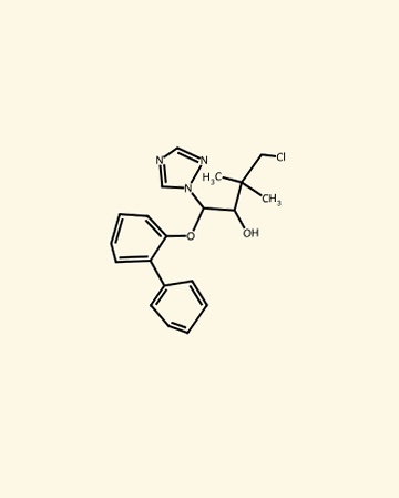 CC(C)(CCl)C(O)C(Oc1ccccc1-c1ccccc1)n1cncn1